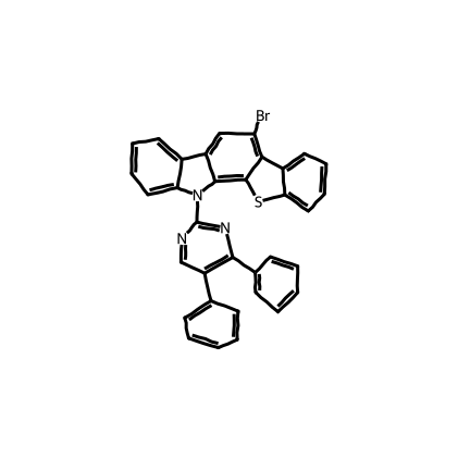 Brc1cc2c3ccccc3n(-c3ncc(-c4ccccc4)c(-c4ccccc4)n3)c2c2sc3ccccc3c12